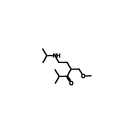 COCC(CCNC(C)C)C(=O)C(C)C